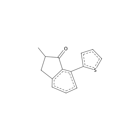 CC1Cc2cccc(-c3cccs3)c2C1=O